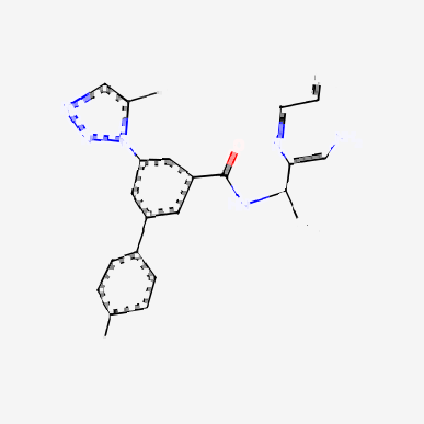 C=C/C=N\C(=C/N)C(C)NC(=O)c1cc(-c2ccc(C)cc2)cc(-n2nncc2C(C)C)c1